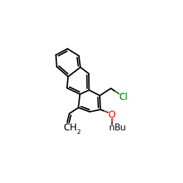 C=Cc1cc(OCCCC)c(CCl)c2cc3ccccc3cc12